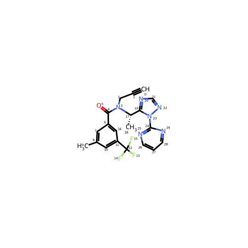 C#CCN(C(=O)c1cc(C)cc(C(F)(F)F)c1)[C@@H](C)c1ncnn1-c1ncccn1